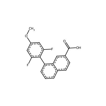 COc1cc(F)c(-c2cccc3ccc(C(=O)O)cc23)c(F)c1